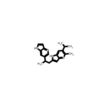 Cc1nc2cc(CC(C)c3cnc4cc[nH]c4c3)[nH]c2cc1C(C)C